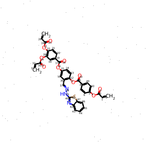 C=CC(=O)Oc1ccc(C(=O)Oc2ccc(OC(=O)c3ccc(OC(=O)C=C)c(OC(=O)C=C)c3)cc2/C=N/Nc2nc3ccccc3s2)cc1